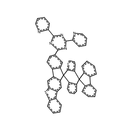 c1ccc(-c2nc(-c3ccc4c(c3)C3(c5cc6c(cc5-4)sc4ccccc46)c4ccccc4C4(c5ccccc5-c5ccccc54)c4ccccc43)nc(-c3ccccn3)n2)nc1